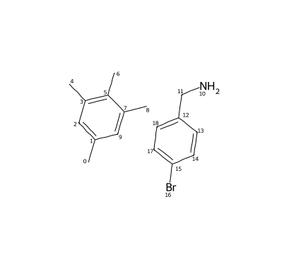 Cc1cc(C)c(C)c(C)c1.NCc1ccc(Br)cc1